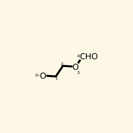 [O]CCOC=O